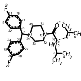 CC(C)C[C@H](NC(C)C)C(=O)N1CCN(C(c2ccc(F)cc2)c2ccc(F)cc2)CC1